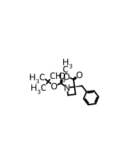 COC(=O)[C@]1(Cc2ccccc2)CCN1C(=O)OC(C)(C)C